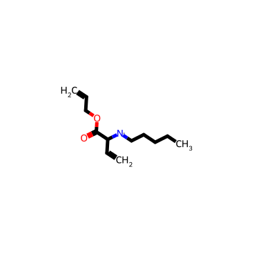 C=CCOC(=O)C(C=C)[N]CCCCC